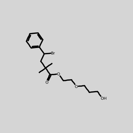 CC(C)(CC(Br)c1ccccc1)C(=O)OCCOCCCO